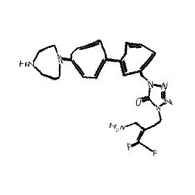 NCC(Cn1nnn(-c2cccc(-c3ccc(N4CCNCC4)cc3)c2)c1=O)=C(F)F